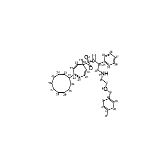 CC1=CCC(COCCNCC(NS(=O)(=O)C2(C)C=CC=C(C3CCCCCCCCC3)C=C2)c2ccccc2)=CC1